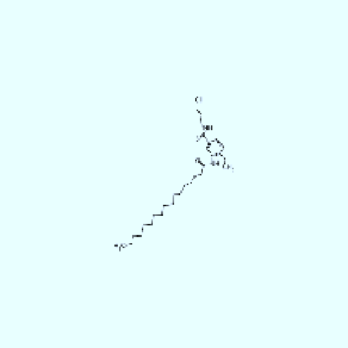 CCCCCCCCCCCCCCCCC(=O)Nc1cc(C(=S)NCCCC)ccc1CC